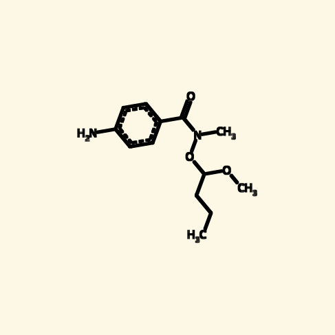 CCCC(OC)ON(C)C(=O)c1ccc(N)cc1